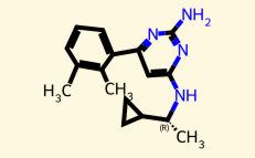 Cc1cccc(-c2cc(N[C@H](C)C3CC3)nc(N)n2)c1C